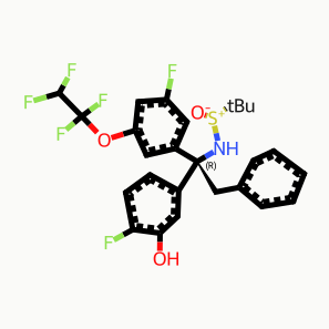 CC(C)(C)[S+]([O-])N[C@@](Cc1ccccc1)(c1cc(F)cc(OC(F)(F)C(F)F)c1)c1ccc(F)c(O)c1